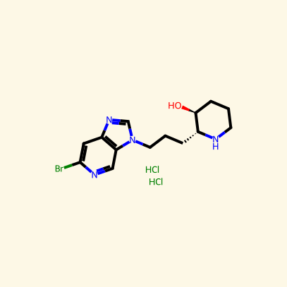 Cl.Cl.O[C@H]1CCCN[C@@H]1CCCn1cnc2cc(Br)ncc21